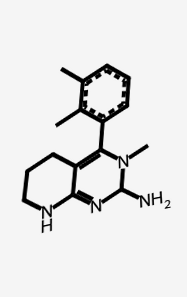 Cc1cccc(C2=C3CCCNC3=NC(N)N2C)c1C